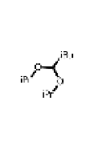 CC[C@H](C)C(OC(C)C)OC(C)C